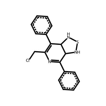 ClCC1=C(c2ccccc2)C2NSNC2C(c2ccccc2)=N1